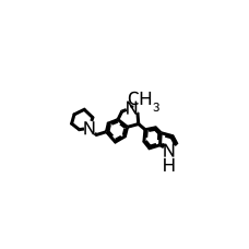 CN1Cc2cc(CN3CCCCC3)ccc2C(c2ccc3[nH]ccc3c2)C1